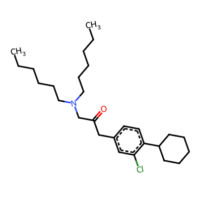 CCCCCCN(CCCCCC)CC(=O)Cc1ccc(C2CCCCC2)c(Cl)c1